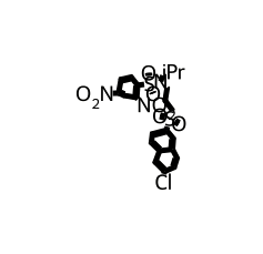 CC(C)N(CCCS(=O)(=O)c1ccc2cc(Cl)ccc2c1)S(=O)(=O)c1ccc([N+](=O)[O-])cc1[N+](=O)[O-]